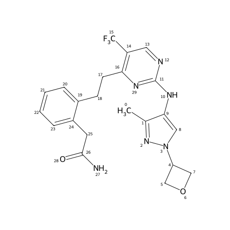 Cc1nn(C2COC2)cc1Nc1ncc(C(F)(F)F)c(CCc2ccccc2CC(N)=O)n1